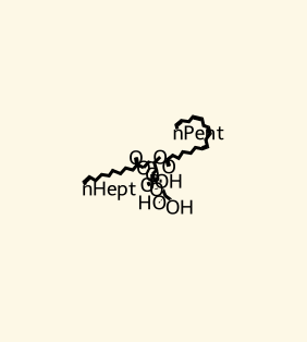 CCCCC/C=C\C/C=C\C/C=C\C/C=C\CCCCCC(=O)O[C@H](COC(=O)CCCCCCC/C=C\CCCCCCC)COP(=O)(O)OC[C@@H](O)CO